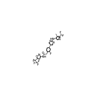 Cc1c(Nc2ncc(-c3ccc(CC(=O)Nc4cc(C5(C(F)(F)F)CC5)on4)c(F)c3)cn2)cnn1C(F)F